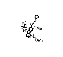 COCCOc1nccc2[nH]c3cc(OCCCN4CCCC4)c(OC)cc3c12.O=C(O)C(F)(F)F